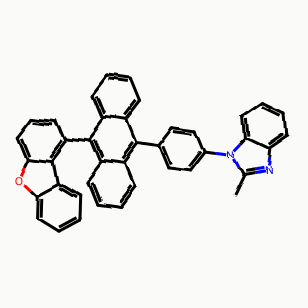 Cc1nc2ccccc2n1-c1ccc(-c2c3ccccc3c(-c3cccc4oc5ccccc5c34)c3ccccc23)cc1